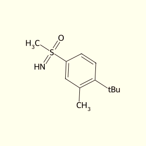 Cc1cc(S(C)(=N)=O)ccc1C(C)(C)C